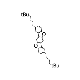 CC(C)(C)CCCCc1ccc2oc3cc4c(cc3c2c1)oc1ccc(CCCCC(C)(C)C)cc14